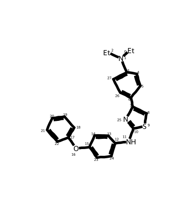 CCN(CC)c1ccc(-c2csc(Nc3ccc(Oc4ccccc4)cc3)n2)cc1